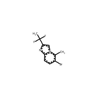 Cc1c(Br)ccc2nc(C(C)(F)F)cn12